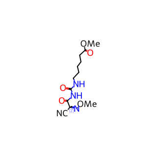 CO/N=C(/C#N)C(=O)NC(=O)NCCCCCC(=O)OC